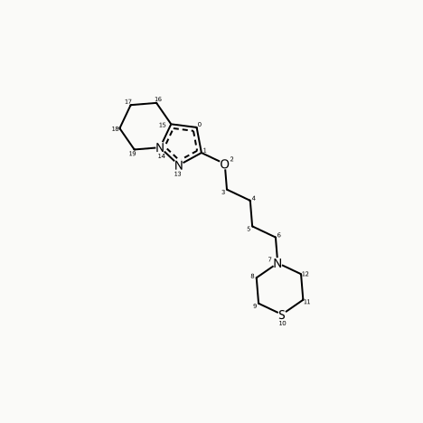 c1c(OCCCCN2CCSCC2)nn2c1CCCC2